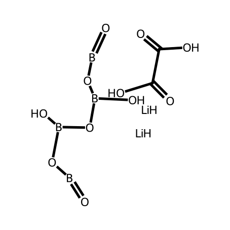 O=BOB(O)OB(O)OB=O.O=C(O)C(=O)O.[LiH].[LiH]